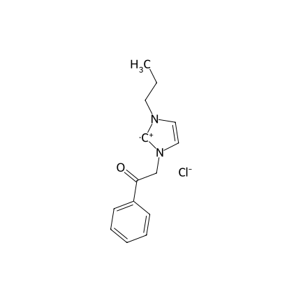 CCCN1[C+]N(CC(=O)c2ccccc2)C=C1.[Cl-]